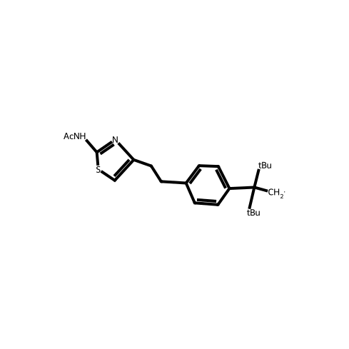 [CH2]C(c1ccc(CCc2csc(NC(C)=O)n2)cc1)(C(C)(C)C)C(C)(C)C